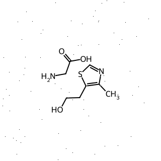 Cc1ncsc1CCO.NCC(=O)O